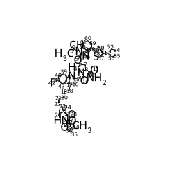 CC(C)n1c(O[C@@H]2C[C@@H](C(N)=O)N(C(=O)[C@H](CCCCC/C=C\[C@@H]3C[C@]3(I)C(=O)NS(=O)(=O)C3(C)CC3)Nc3ccc(F)cc3)C2)nc2c(-c3nc(C4CCCC4)cs3)cccc21